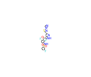 O=C(c1c(F)ccc(NS(=O)(=O)c2cccc(F)c2)c1F)c1c[nH]c2ncc(-c3csc(-n4ccnc4)n3)cc12